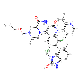 C=CCOCN1CC2C(=O)Nc3c(c4cc(Cl)c(-c5c(C)ccc6[nH]c(=O)n(C)c56)c(F)c4n(-c4c(C)ccnc4C(C)C)c3=O)N2CC1C